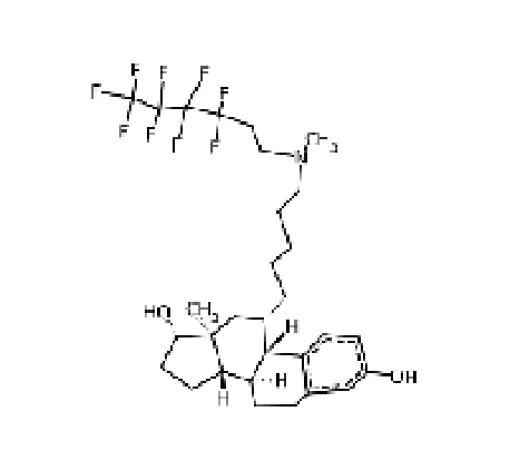 CN(CCCCC[C@H]1C[C@]2(C)[C@@H](O)CC[C@H]2[C@@H]2CCc3cc(O)ccc3[C@@H]12)CCC(F)(F)C(F)(F)C(F)(F)C(F)(F)F